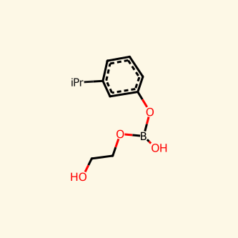 CC(C)c1cccc(OB(O)OCCO)c1